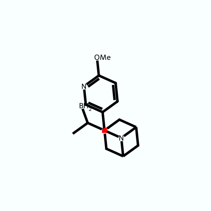 BC(C)N1CC2CC(C1)N2Cc1ccc(OC)nc1